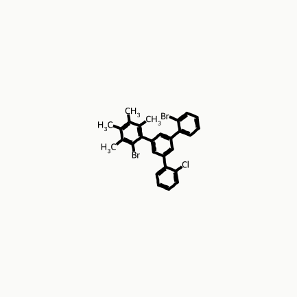 Cc1c(C)c(C)c(-c2cc(-c3ccccc3Cl)cc(-c3ccccc3Br)c2)c(Br)c1C